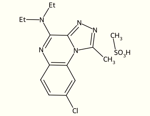 CCN(CC)c1nc2ccc(Cl)cc2n2c(C)nnc12.CS(=O)(=O)O